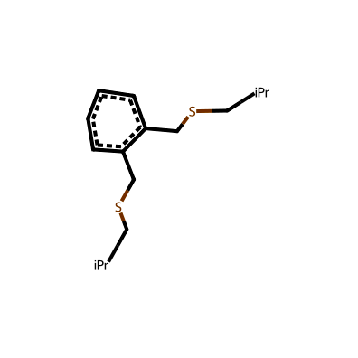 CC(C)CSCc1ccccc1CSCC(C)C